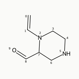 C=CN1CCNCC1C=O